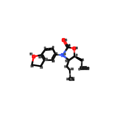 COC[C@@H]1OC(=O)N(c2ccc3c(c2)CCO3)C1CCC#N